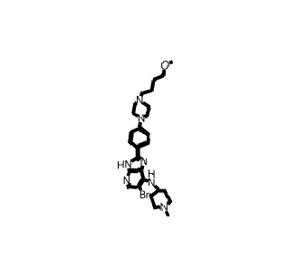 COCCCCN1CCN(c2ccc(-c3nc4c(NC5CCN(C)CC5)c(Br)cnc4[nH]3)cc2)CC1